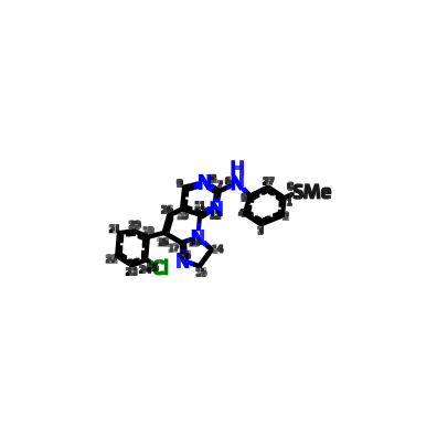 CSc1cccc(Nc2ncc3c(n2)N2CCN=C2C(c2ccccc2Cl)=C3)c1